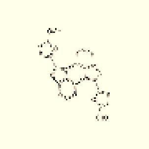 COc1ccc(-c2sc3cccc4c5c(-c6ccc(C=O)o6)sc6cccc(c2c34)c65)o1